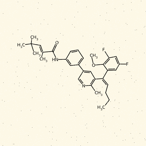 CCC/C=C(\c1cc(-c2cccc(NC(=O)/C(C)=C/C(C)(C)C)c2)cnc1C)c1cc(F)cc(F)c1OC